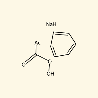 CC(=O)C(=O)OO.[NaH].[c]1ccccc1